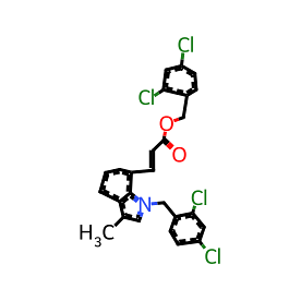 Cc1cn(Cc2ccc(Cl)cc2Cl)c2c(C=CC(=O)OCc3ccc(Cl)cc3Cl)cccc12